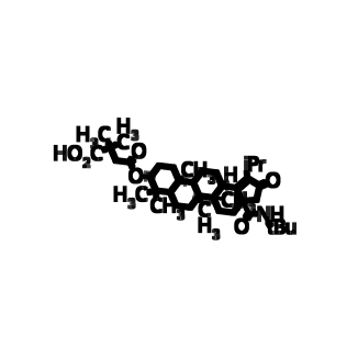 CC(C)C1=C2[C@H]3CCC4[C@@]5(C)CC[C@H](OC(=O)CC(C)(C)C(=O)O)C(C)(C)C5CC[C@@]4(C)[C@]3(C)CC[C@@]2(C(=O)NC(C)(C)C)CC1=O